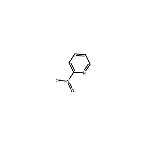 O=[N+]([O-])c1c[c]ccn1